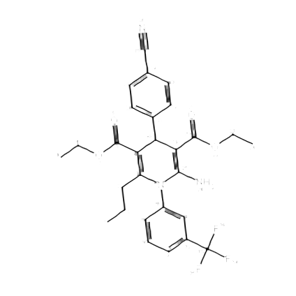 CCCC1=C(C(=O)OCC)C(c2ccc(C#N)cc2)C(C(=O)OCC)=C(N)N1c1cccc(C(F)(F)F)c1